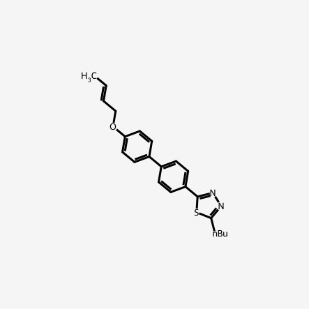 CC=CCOc1ccc(-c2ccc(-c3nnc(CCCC)s3)cc2)cc1